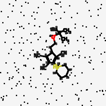 CC(C)(C)[Si](C)(C)OCCC1C(C#N)=C(C#N)C([SH]2CCCCC2)=C1C#N